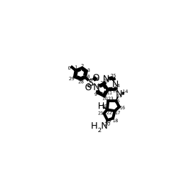 Cc1ccc(S(=O)(=O)n2ccc3c(N(C)[C@H]4CC5C[C@@H](N)C[C@@H]5C4)ncnc32)cc1